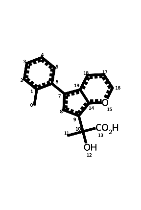 Cc1ccccc1-c1cc(C(C)(O)C(=O)O)c2occcc1-2